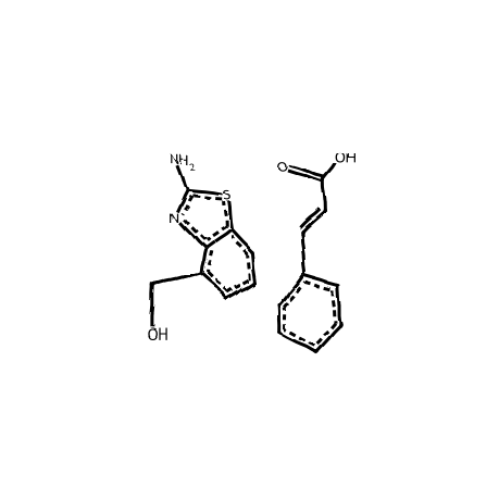 Nc1nc2c(CO)cccc2s1.O=C(O)C=Cc1ccccc1